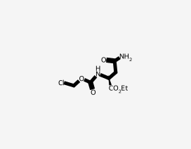 CCOC(=O)[C@H](CC(N)=O)NC(=O)OCCl